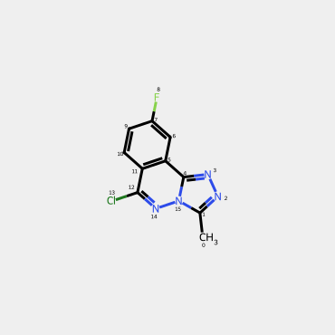 Cc1nnc2c3cc(F)ccc3c(Cl)nn12